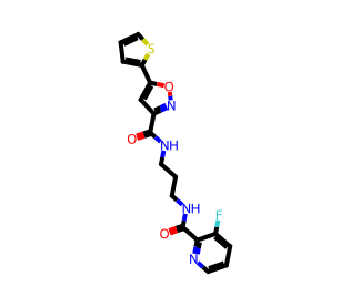 O=C(NCCCNC(=O)c1ncccc1F)c1cc(-c2cccs2)on1